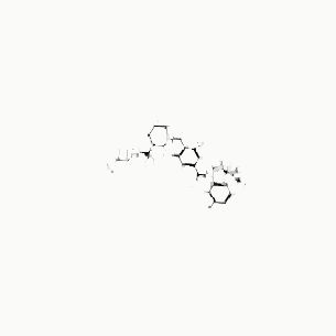 CCS(=O)(=O)c1ccc(Cl)cc1N(C)C(=O)c1cc(Cl)c(CN2CCC[C@H](C(=O)NCCN)C2)c(C(F)(F)F)c1